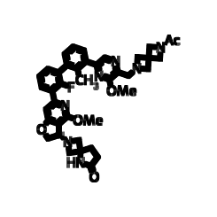 COc1nc(-c2cccc(-c3cccc(-c4cc5c(c(OC)n4)[C@@H](N4CC6(CCC(=O)N6)C4)CO5)c3F)c2C)cnc1CN1CC2(C1)CN(C(C)=O)C2